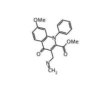 C=NCc1c(C(=O)OC)n(-c2ccccc2)c2cc(OC)ccc2c1=O